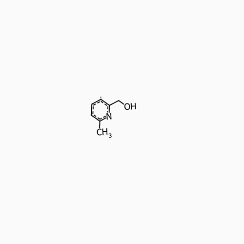 Cc1cc[c]c(CO)n1